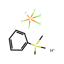 CS(C)(C)c1ccccc1.F[P-](F)(F)(F)(F)F.[H+]